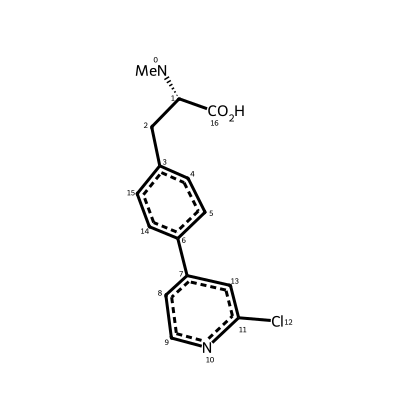 CN[C@@H](Cc1ccc(-c2ccnc(Cl)c2)cc1)C(=O)O